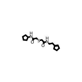 O=C(CSCC(=O)NC1CCCC1)NCCC1=CCCC1